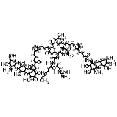 CCCCCCC(=O)N[C@@H](CCCNC(=N)N)C(=O)C[C@@H](CNC(=N)N)C(=O)N(CCCn1cc(CCCC(=O)NCC2OC(OC3C(N)CC(N)C(OC4COC(CO)C(O)C4N)C3O)C(O)C(O)C2O)nn1)CC(=O)N(CCC)CC(=O)N(CCCn1cc(CCCC(=O)NCC2OC(OC3C(N)CC(N)C(O)C3O)C(N)C(O)C2O)nn1)CC(N)=O